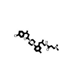 Cc1ccc(N2CCN(C(=O)CC(C)c3ccc(Cl)cc3)CC2)c(CC(C)CNC(=O)CCN(C)C)c1